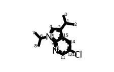 CC(C)c1cn(C(C)C)c2ncc(Cl)cc12